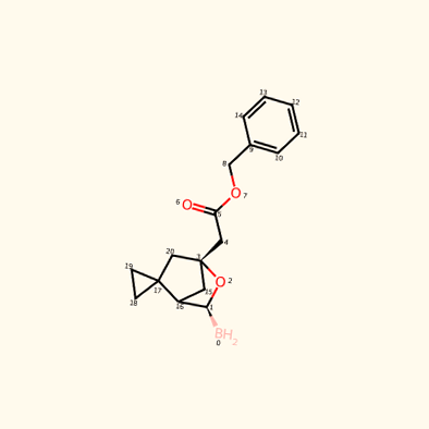 B[C@@H]1O[C@]2(CC(=O)OCc3ccccc3)CC1C1(CC1)C2